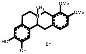 COc1ccc2c(c1OC)C[N+]1(C)CCc3cc(O)c(O)cc3C1C2.[Br-]